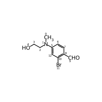 CN(CCO)c1ccc(C=O)c(Br)c1